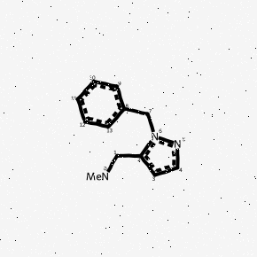 CNCc1ccnn1Cc1ccccc1